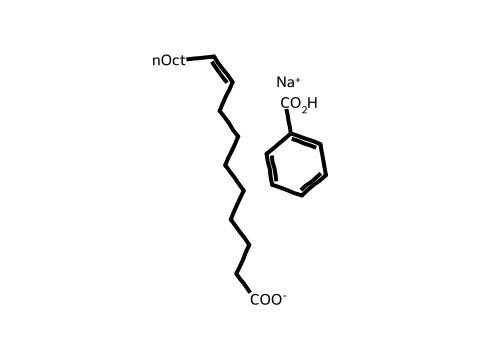 CCCCCCCC/C=C\CCCCCCCC(=O)[O-].O=C(O)c1ccccc1.[Na+]